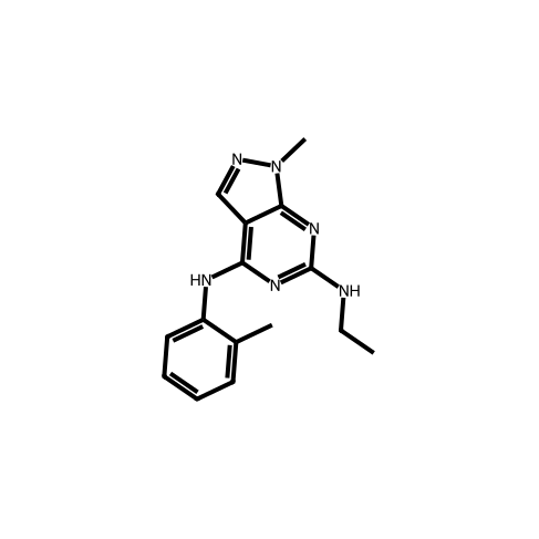 CCNc1nc(Nc2ccccc2C)c2cnn(C)c2n1